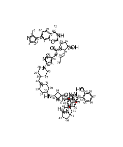 Cc1ncsc1-c1ccc([C@H](C)NC(=O)[C@@H]2C[C@@H](O)CN2C(=O)[C@@H](c2cc(N3CCC(CN4CCC(NC5CC(Oc6cc(N7C8CC[C@@H]7CN(c7cc(-c9ccccc9O)nnc7N)C8)ccn6)C5)CC4)CC3)no2)C(C)C)cc1